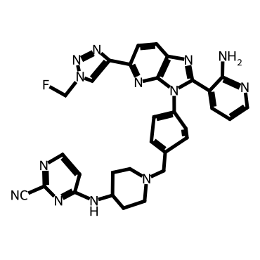 N#Cc1nccc(NC2CCN(Cc3ccc(-n4c(-c5cccnc5N)nc5ccc(-c6cn(CF)nn6)nc54)cc3)CC2)n1